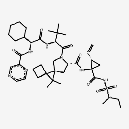 C=C[C@@H]1C[C@]1(NC(=O)[C@@H]1C[C@@]2(CN1C(=O)[C@@H](NC(=O)[C@@H](NC(=O)c1cnccn1)C1CCCCC1)C(C)(C)C)C(C)(C)C21CCC1)C(=O)NS(=O)(=O)N(C)CC